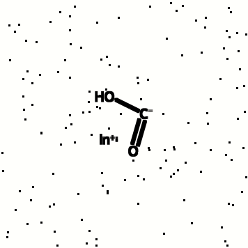 O=[C-]O.[In+]